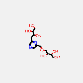 OCC(O)C(O)COCc1cncc(CC(O)C(O)CO)n1